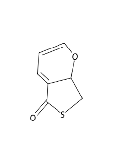 O=C1SCC2OC=CC=C12